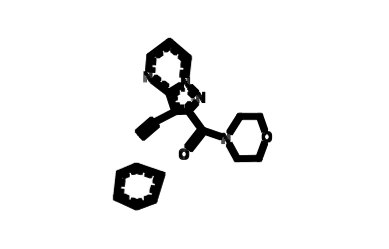 C#Cc1c(C(=O)N2CCOCC2)nn2cccnc12.c1ccccc1